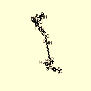 Cc1ncsc1-c1ccc(CNC(=O)[C@@H]2C[C@@H](O)CN2C(=O)C(NC(=O)CCCCCCCCCNC(=O)CCC(=O)N2CCN(c3ncc(-c4cc(NC(=O)c5c[nH]c(=O)cc5C(F)(F)F)c(N5C[C@@H](C)N(C)[C@@H](C)C5)cc4F)cn3)CC2)C(C)(C)C)cc1